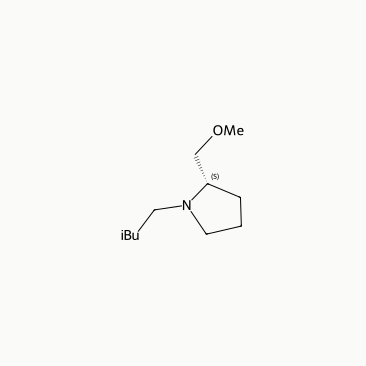 CCC(C)CN1CCC[C@H]1COC